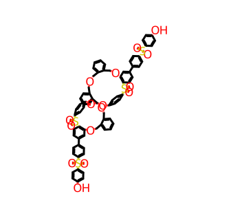 O=S(=O)(c1ccc(O)cc1)c1ccc(-c2ccc3c(c2)OCc2ccccc2COCc2ccccc2C2(OCc4ccccc4COc4cc(-c5ccc(S(=O)(=O)c6ccc(O)cc6)cc5)ccc4S(=O)(=O)c4ccc(cc4)O2)Oc2ccc(cc2)S3(=O)=O)cc1